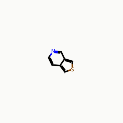 [c]1s[c]c2cnccc12